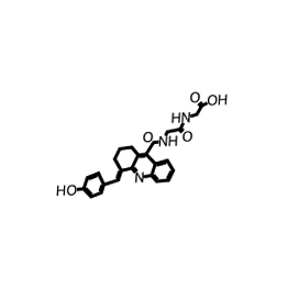 O=C(O)CNC(=O)CNC(=O)c1c2c(nc3ccccc13)C(=Cc1ccc(O)cc1)CCC2